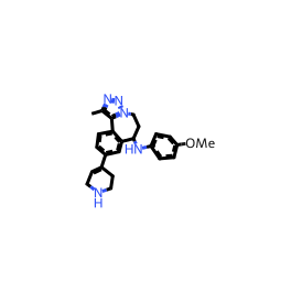 COc1ccc(NC2CCn3nnc(C)c3-c3ccc(C4=CCNCC4)cc32)cc1